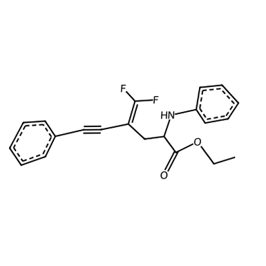 CCOC(=O)C(CC(C#Cc1ccccc1)=C(F)F)Nc1ccccc1